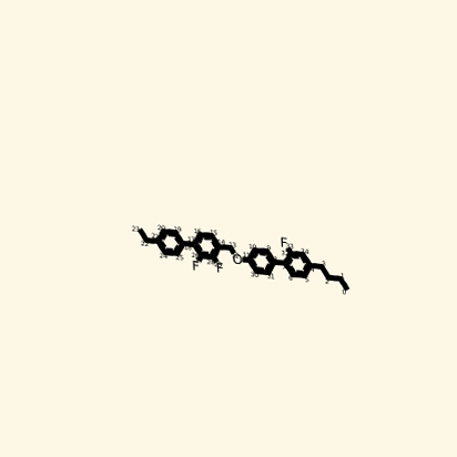 CCCCc1ccc(-c2ccc(OCc3ccc(-c4ccc(CC)cc4)c(F)c3F)cc2)c(F)c1